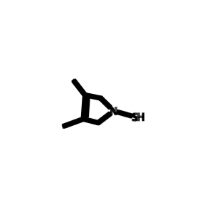 CC1=C(C)CN(S)C1